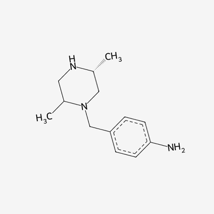 CC1CN[C@H](C)CN1Cc1ccc(N)cc1